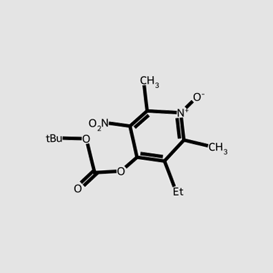 CCc1c(OC(=O)OC(C)(C)C)c([N+](=O)[O-])c(C)[n+]([O-])c1C